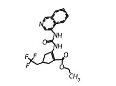 CCOC(=O)C1=C(NC(=O)Nc2cncc3ccccc23)CC(CC(F)(F)F)C1